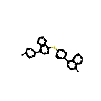 Cc1ccc(-c2ccc(Sc3c#cc(-c4ccc(C)c5ccccc45)cc3)c3ccccc23)cc1